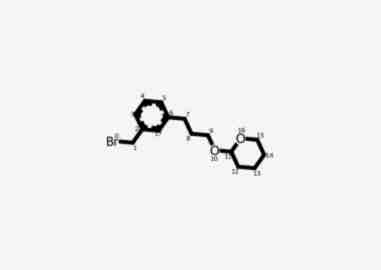 BrCc1cccc(CCCOC2CCCCO2)c1